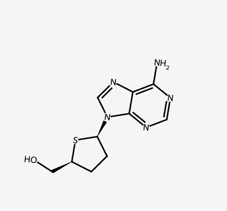 Nc1ncnc2c1ncn2[C@H]1CC[C@@H](CO)S1